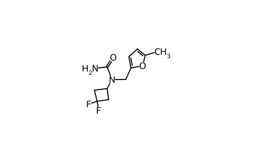 Cc1ccc(CN(C(N)=O)C2CC(F)(F)C2)o1